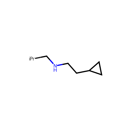 CC(C)CNCCC1CC1